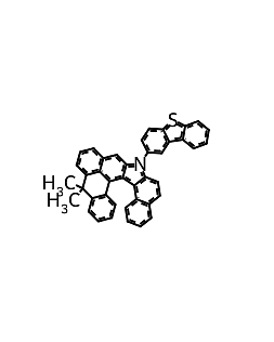 CC1(C)c2ccccc2-c2c3c1cccc3cc1c2c2c3ccccc3ccc2n1-c1ccc2sc3ccccc3c2c1